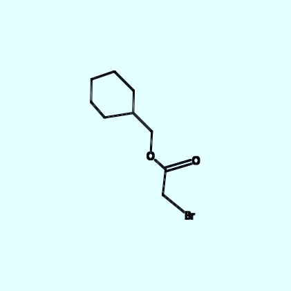 O=C(CBr)OCC1CCCCC1